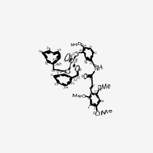 COc1cc(OC)c(/C=C/C(=O)Nc2ccc(OC)c(SP(=O)(OCc3ccccc3)OCc3ccccc3)c2)c(OC)c1